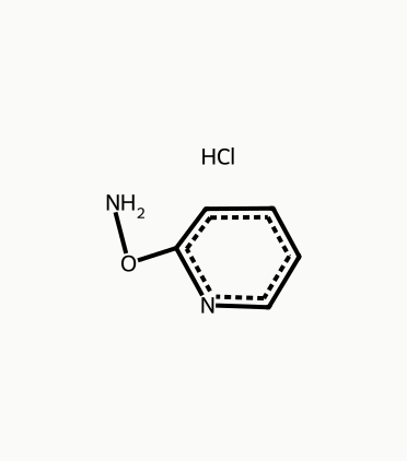 Cl.NOc1ccccn1